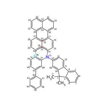 CC1(C)c2ccccc2-c2ccc(N(c3ccc(-c4cccc5cccc(-c6ccc(F)cc6)c45)cc3)c3cccc(-c4ccccc4)c3)cc21